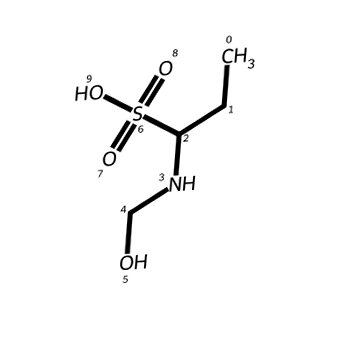 CCC(NCO)S(=O)(=O)O